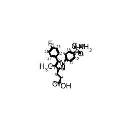 Cc1c(CCC(=O)O)nn(-c2ccc(S(N)(=O)=O)cc2)c1-c1ccc(F)cc1